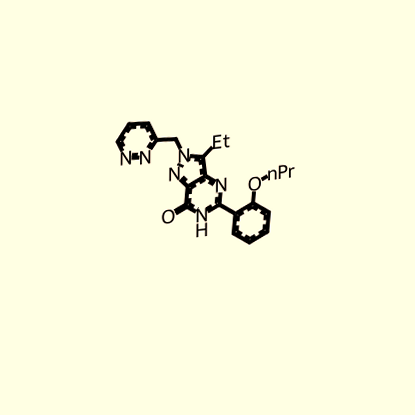 CCCOc1ccccc1-c1nc2c(CC)n(Cc3cccnn3)nc2c(=O)[nH]1